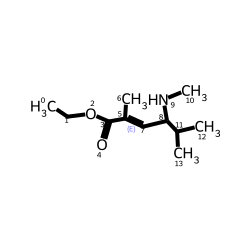 CCOC(=O)/C(C)=C/C(NC)C(C)C